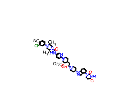 C[C@@H]1CN(C(=O)Nc2ccc(N3CCC(CCN4CCC(n5ncc6c(N7CCC(=O)NC7=O)cccc65)CC4)CC3)nc2)[C@@H](C)CN1c1ccc(C#N)c(Cl)c1.O=CO